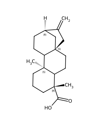 C=C1C[C@@]23CCC4[C@@](C)(CCC[C@@]4(C)C(=O)O)C2CC[C@@H]1C3